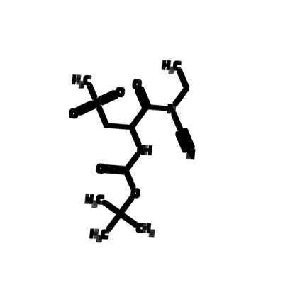 CCN(C#N)C(=O)C(CS(C)(=O)=O)NC(=O)OC(C)(C)C